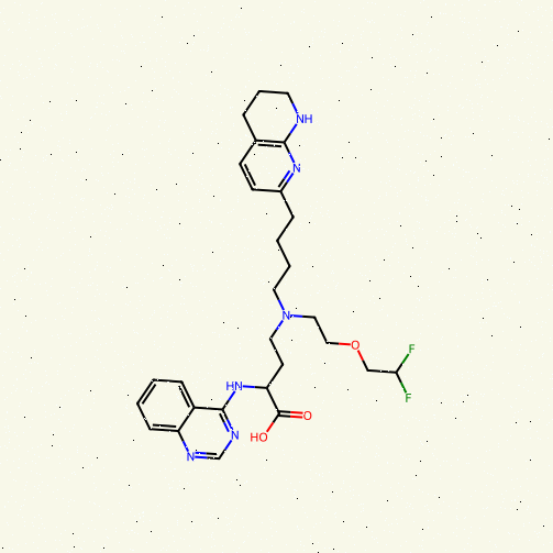 O=C(O)C(CCN(CCCCc1ccc2c(n1)NCCC2)CCOCC(F)F)Nc1ncnc2ccccc12